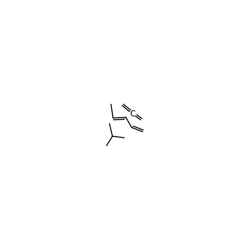 C=C=C.C=CC=CC.CC(C)C